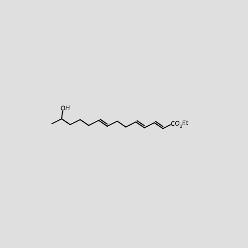 CCOC(=O)/C=C/C=C/CC/C=C/CCCC(C)O